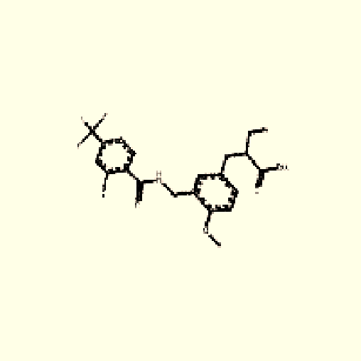 CCC(Cc1ccc(OC)c(CNC(=O)c2ccc(C(F)(F)F)cc2F)c1)C(=O)O